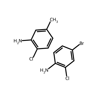 Cc1ccc(Cl)c(N)c1.Nc1ccc(Br)cc1Cl